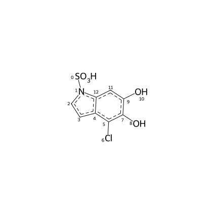 O=S(=O)(O)n1ccc2c(Cl)c(O)c(O)cc21